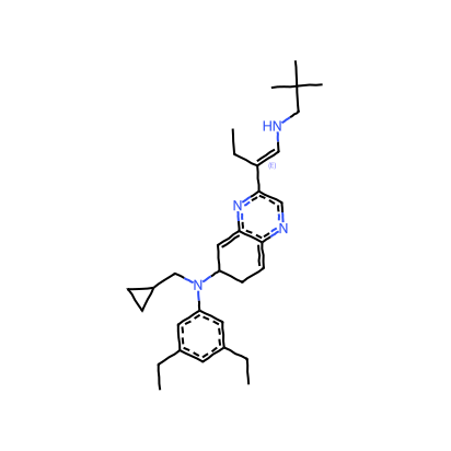 CC/C(=C\NCC(C)(C)C)c1cnc2c(n1)=CC(N(CC1CC1)c1cc(CC)cc(CC)c1)CC=2